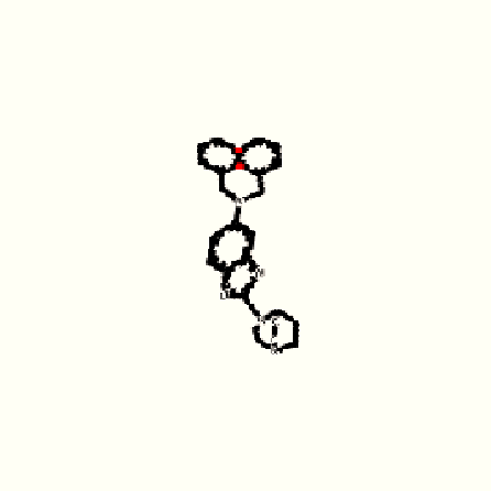 c1ccc(CN(Cc2ccccc2)c2ccc3oc(N4CCN5CCC4CC5)nc3c2)cc1